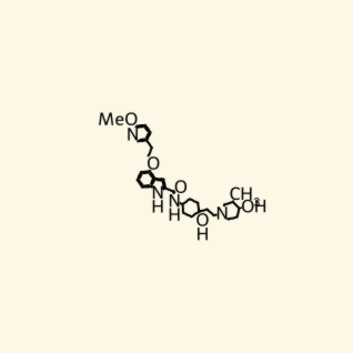 COc1ccc(CCOc2cccc3[nH]c(C(=O)NC4CCC(O)(CCN5CC[C@H](O)[C@@H](C)C5)CC4)cc23)cn1